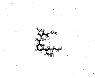 COC(=O)c1nn(C)cc1NC(=O)c1cccc(/C(C=N)=C/NCCCl)n1